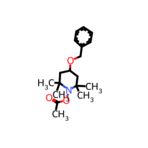 CC(=O)ON1C(C)(C)CC(OCc2ccccc2)CC1(C)C